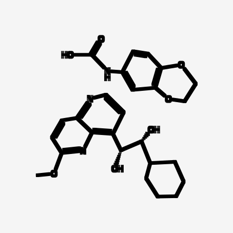 COc1ccc2nccc([C@@H](O)[C@H](O)C3CCCCC3)c2n1.O=C(O)Nc1ccc2c(c1)OCCO2